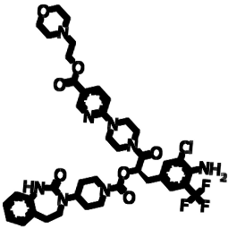 Nc1c(Cl)cc(C[C@@H](OC(=O)N2CCC(N3CCc4ccccc4NC3=O)CC2)C(=O)N2CCN(c3ccc(C(=O)OCCN4CCOCC4)cn3)CC2)cc1C(F)(F)F